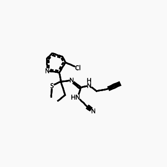 C#CCN/C(=N/C(CC)(SC)c1ncccc1Cl)NC#N